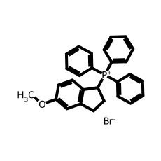 COc1ccc2c(c1)CCC2[P+](c1ccccc1)(c1ccccc1)c1ccccc1.[Br-]